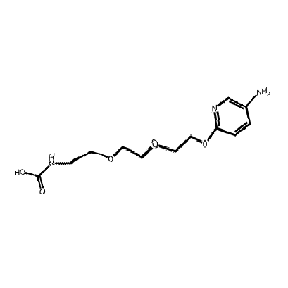 Nc1ccc(OCCOCCOCCNC(=O)O)nc1